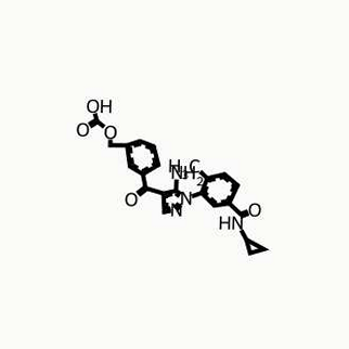 Cc1ccc(C(=O)NC2CC2)cc1-n1ncc(C(=O)c2cccc(COC(=O)O)c2)c1N